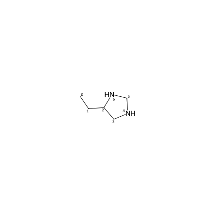 CCC1CNCN1